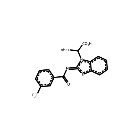 CCCCCCC(C(=O)O)n1/c(=N/C(=O)c2cccc(C(F)(F)F)c2)sc2ccccc21